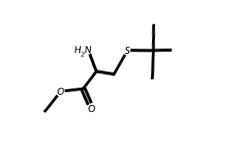 COC(=O)C(N)CSC(C)(C)C